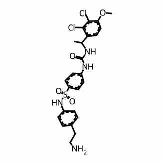 COc1ccc(C(C)NC(=O)Nc2ccc(S(=O)(=O)Nc3ccc(CCN)cc3)cc2)c(Cl)c1Cl